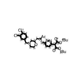 CC(=O)N(C[C@@H]1CN(Cc2ccc(Cl)c(Cl)c2)CCO1)Sc1ccc(C(C(=O)OC(C)(C)C)C(=O)OC(C)(C)C)nn1